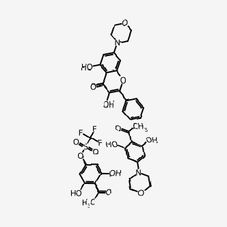 CC(=O)c1c(O)cc(N2CCOCC2)cc1O.CC(=O)c1c(O)cc(OS(=O)(=O)C(F)(F)F)cc1O.O=c1c(O)c(-c2ccccc2)oc2cc(N3CCOCC3)cc(O)c12